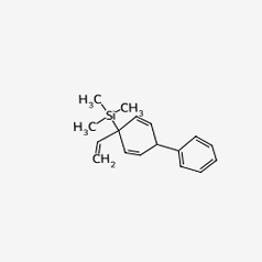 C=CC1([Si](C)(C)C)C=CC(c2ccccc2)C=C1